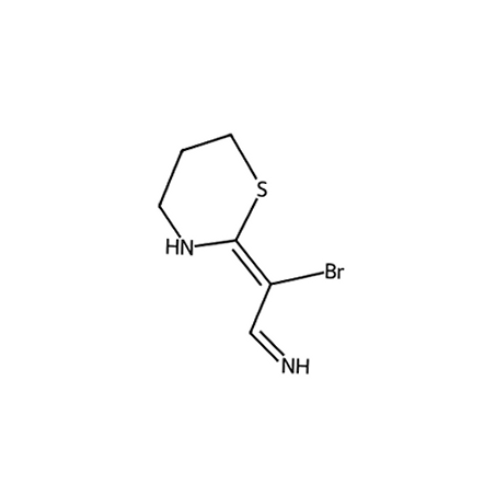 N=C/C(Br)=C1\NCCCS1